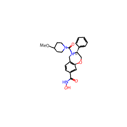 COC1CCN(C(=O)N2Cc3ccc(C(=O)NO)cc3OC[C@@H]2c2ccccc2)CC1